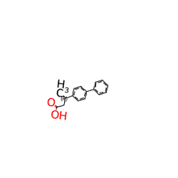 C[C@H](CC(=O)O)c1ccc(-c2ccccc2)cc1